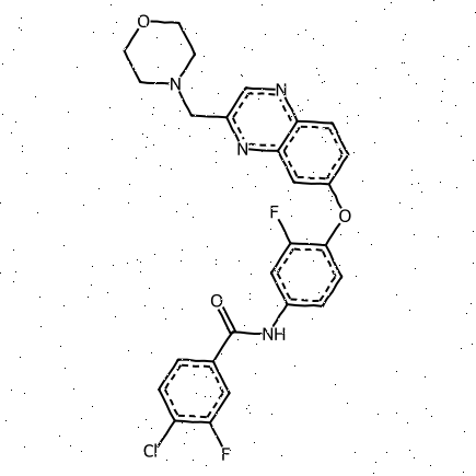 O=C(Nc1ccc(Oc2ccc3ncc(CN4CCOCC4)nc3c2)c(F)c1)c1ccc(Cl)c(F)c1